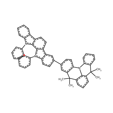 CC1(C)c2ccccc2N2c3ccc(-c4ccc5c(c4)c4ccc6c7ccccc7n(-c7ccccc7)c6c4n5-c4ccccc4)cc3C(C)(C)c3cccc1c32